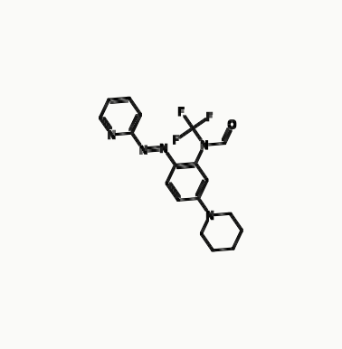 O=CN(c1cc(N2CCCCC2)ccc1N=Nc1ccccn1)C(F)(F)F